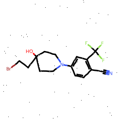 N#Cc1ccc(N2CCC(O)(CCBr)CC2)cc1C(F)(F)F